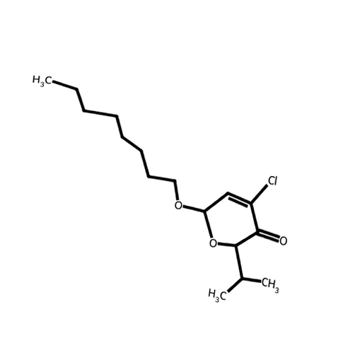 CCCCCCCCOC1C=C(Cl)C(=O)C(C(C)C)O1